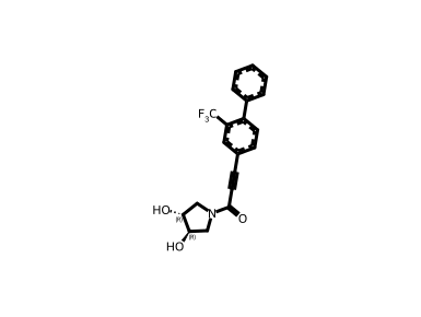 O=C(C#Cc1ccc(-c2ccccc2)c(C(F)(F)F)c1)N1C[C@@H](O)[C@H](O)C1